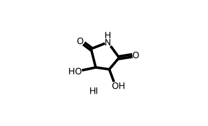 I.O=C1NC(=O)C(O)C1O